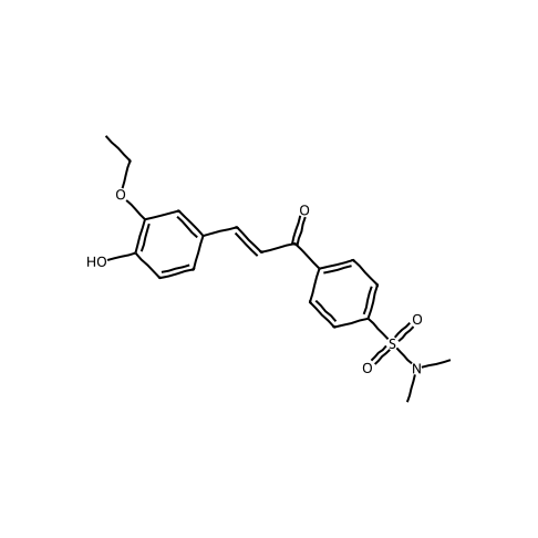 CCOc1cc(/C=C/C(=O)c2ccc(S(=O)(=O)N(C)C)cc2)ccc1O